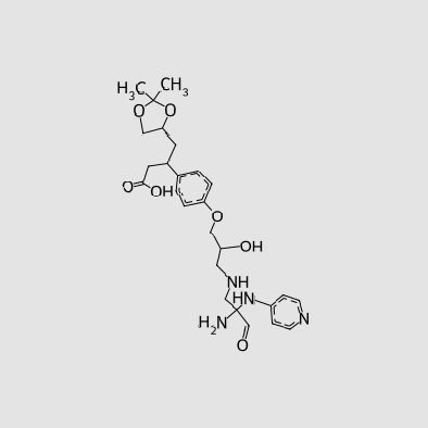 CC1(C)OCC(CC(CC(=O)O)c2ccc(OCC(O)CNCC(N)(C=O)Nc3ccncc3)cc2)O1